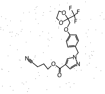 N#CCCCOC(=O)c1cnn(Cc2ccc(OCC3(C(F)(F)F)OCCO3)cc2)c1